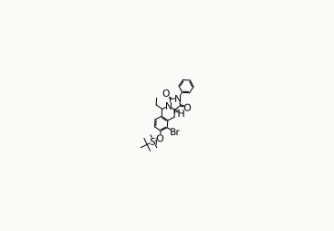 CCC1c2ccc(O[Si](C)(C)C(C)(C)C)c(Br)c2C[C@H]2C(=O)N(c3ccccc3)C(=O)N12